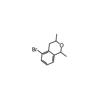 CC1Cc2c(Br)cccc2C(C)O1